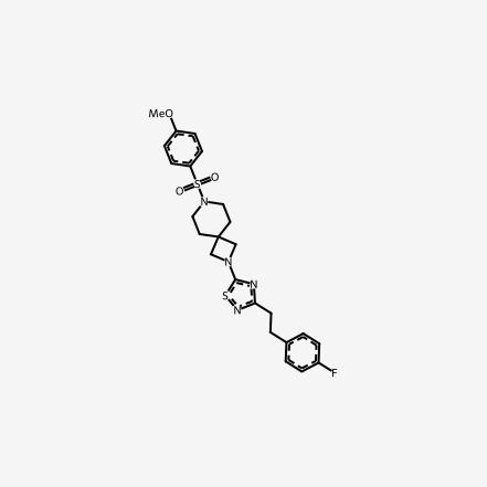 COc1ccc(S(=O)(=O)N2CCC3(CC2)CN(c2nc(CCc4ccc(F)cc4)ns2)C3)cc1